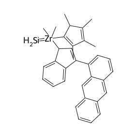 CC1=C(C)C(C)[C]([Zr]([CH3])([CH3])(=[SiH2])[CH]2C=C(c3cccc4cc5ccccc5cc34)c3ccccc32)=C1C